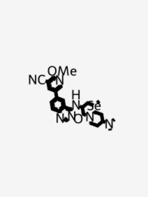 COc1ncc(-c2ccc3ncnc(NC(C[Se]C)C(=O)N4CCC(N(C)C)CC4)c3c2)cc1C#N